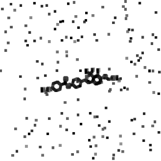 CCOc1ccc(/C=C/C2CCC(OC(=O)C3CCC(C)CC3)CC2)c(C(F)(F)F)c1F